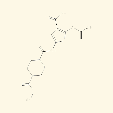 CCCCOC(=O)C1CCC(C(=O)Nc2cc(C(N)=O)c(NC(N)=O)s2)CC1